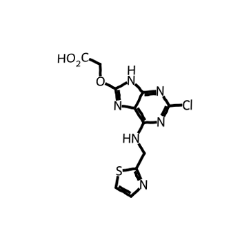 O=C(O)COc1nc2c(NCc3nccs3)nc(Cl)nc2[nH]1